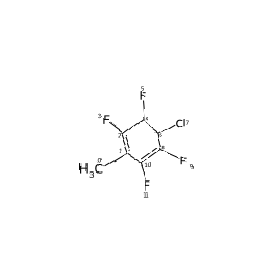 CC1=C(F)C(F)[C](Cl)C(F)=C1F